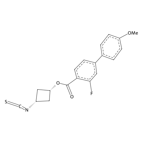 COc1ccc(-c2ccc(C(=O)O[C@H]3C[C@@H](N=C=S)C3)c(F)c2)cc1